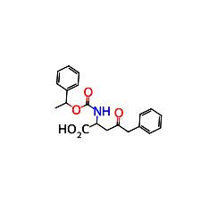 CC(OC(=O)NC(CC(=O)Cc1ccccc1)C(=O)O)c1ccccc1